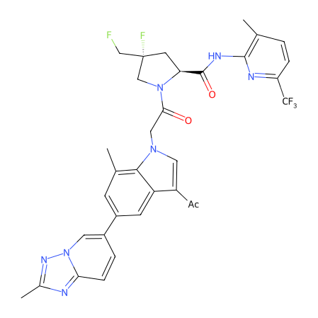 CC(=O)c1cn(CC(=O)N2C[C@@](F)(CF)C[C@H]2C(=O)Nc2nc(C(F)(F)F)ccc2C)c2c(C)cc(-c3ccc4nc(C)nn4c3)cc12